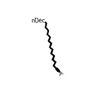 CCCCCCCCCCCCCCCCCCCCCCCCC#C[P]